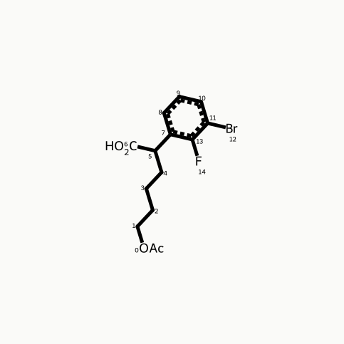 CC(=O)OCCCCC(C(=O)O)c1cccc(Br)c1F